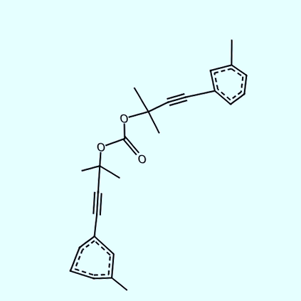 Cc1cccc(C#CC(C)(C)OC(=O)OC(C)(C)C#Cc2cccc(C)c2)c1